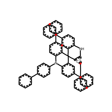 c1ccc(-c2ccc(N3c4ccc(-c5ccccc5)cc4C4(c5cc(-c6ccccc6)ccc5Nc5ccc(-c6ccccc6)cc54)c4cc(-c5ccccc5)ccc43)cc2)cc1